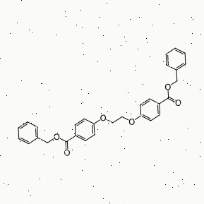 O=C(OCc1ccccc1)c1ccc(OCCOc2ccc(C(=O)OCc3ccccc3)cc2)cc1